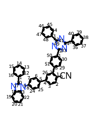 N#Cc1ccc(-c2ccc(-n3c(-c4ccccc4)nc4ccccc43)cc2)cc1-c1ccc(-c2nc(-c3ccccc3)nc(-c3ccccc3)n2)cc1